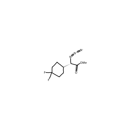 COC(=O)[C@@H](N=[N+]=[N-])C1CCC(F)(F)CC1